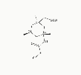 C[C@H]1C[C@@](C)(CC(=O)O)C[C@](C)(NC(=O)CCl)C1